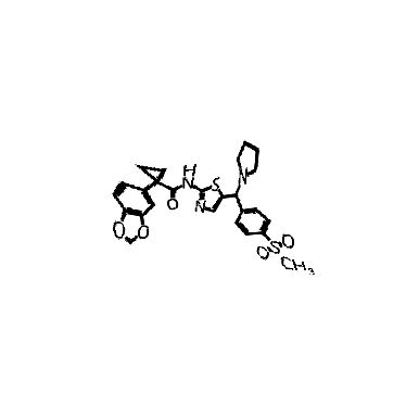 CS(=O)(=O)c1ccc(C(c2cnc(NC(=O)C3(c4ccc5c(c4)OCO5)CC3)s2)N2CCCC2)cc1